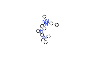 c1ccc(-c2ccc(-c3nc(-c4ccccc4)nc(-c4cccc5c(-n6c7ccccc7c7cc8c9ccc%10ccccc%10c9n(-c9ccccc9)c8cc76)cccc45)n3)cc2)cc1